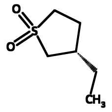 CC[C@H]1CCS(=O)(=O)C1